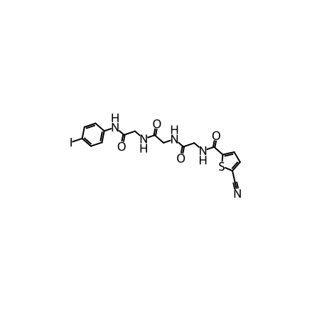 N#Cc1ccc(C(=O)NCC(=O)NCC(=O)NCC(=O)Nc2ccc(I)cc2)s1